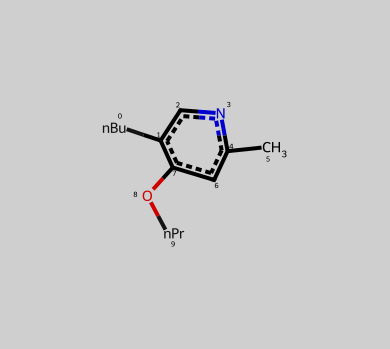 CCCCc1cnc(C)cc1OCCC